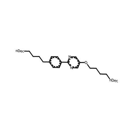 CCCCCCCCCCCCCCOc1cnc(-c2ccc(CCCCCCCCCCCCCC)cc2)nc1